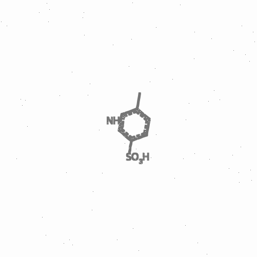 Cc1ccc(S(=O)(=O)O)cc1.N